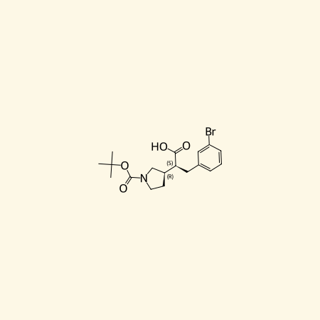 CC(C)(C)OC(=O)N1CC[C@H]([C@H](Cc2cccc(Br)c2)C(=O)O)C1